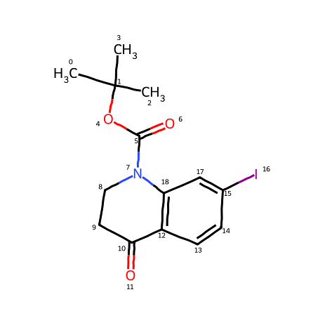 CC(C)(C)OC(=O)N1CCC(=O)c2ccc(I)cc21